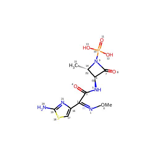 CO/N=C(\C(=O)N[C@@H]1C(=O)N(P(=O)(O)O)[C@H]1C)c1csc(N)n1